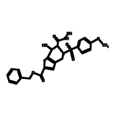 COc1ccc(S(=O)(=O)N2Cc3cc(C(=O)OCc4ccccc4)sc3C(O)C2C(=O)NO)cc1